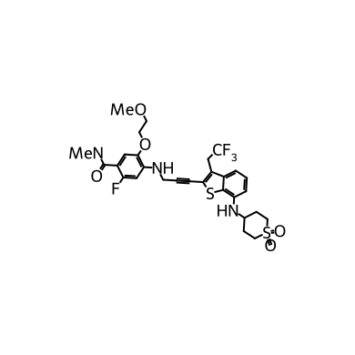 CNC(=O)c1cc(OCCOC)c(NCC#Cc2sc3c(NC4CCS(=O)(=O)CC4)cccc3c2CC(F)(F)F)cc1F